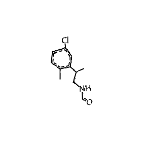 Cc1ccc(Cl)cc1C(C)CNC=O